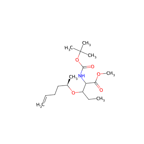 C=CCC[C@@H](C)OC(CC)C(NC(=O)OC(C)(C)C)C(=O)OC